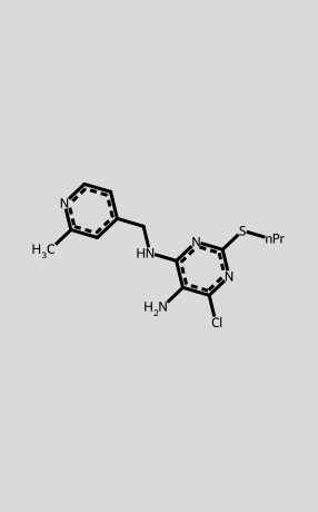 CCCSc1nc(Cl)c(N)c(NCc2ccnc(C)c2)n1